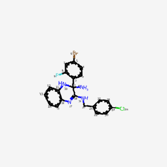 NC1(c2ccc(Br)cc2F)Nc2ccccc2N=C1NCc1ccc(Cl)cc1